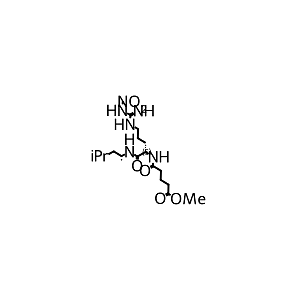 COC(=O)CCCC(=O)N[C@@H](CCCNC(=N)N[N+](=O)[O-])C(=O)N[CH]CC(C)C